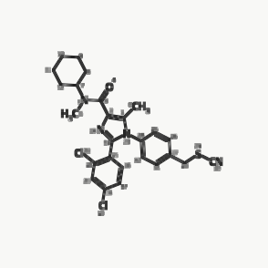 Cc1c(C(=O)N(C)C2CCCCC2)nc(-c2ccc(Cl)cc2Cl)n1-c1ccc(CSC#N)cc1